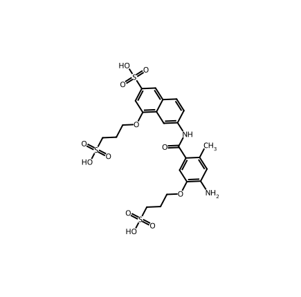 Cc1cc(N)c(OCCCS(=O)(=O)O)cc1C(=O)Nc1ccc2cc(S(=O)(=O)O)cc(OCCCS(=O)(=O)O)c2c1